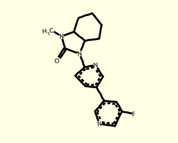 CN1C(=O)N(c2ccc(-c3cncc(F)c3)cn2)C2CCCCC21